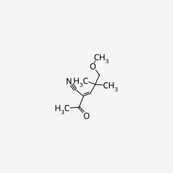 COCC(C)(C)/C=C(\C#N)C(C)=O